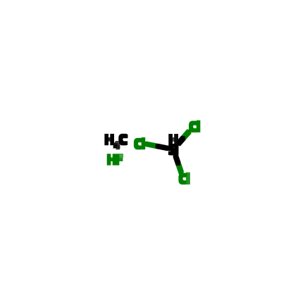 C.Cl[SiH](Cl)Cl.F